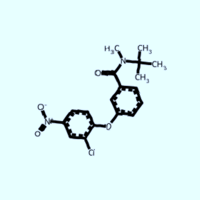 CN(C(=O)c1cccc(Oc2ccc([N+](=O)[O-])cc2Cl)c1)C(C)(C)C